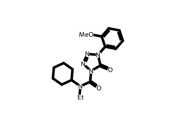 CCN(C(=O)n1nnn(-c2ccccc2OC)c1=O)C1CCCCC1